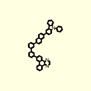 c1ccc(-n2c3ccccc3c3cc(-c4ccc5cc(-c6cccc(-c7cccc(-c8ccc9c(c8)c8ccccc8c8nccnc98)c7)c6)ccc5c4)ccc32)cc1